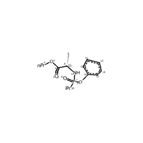 CCCOC(=O)[C@H](C)NP(=O)(Oc1ccccc1)C(C)C